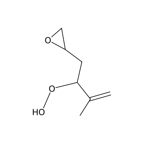 C=C(C)C(CC1CO1)OO